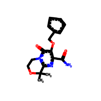 CC1(C)OCCn2c1nc(C(N)=O)c(OCc1ccccc1)c2=O